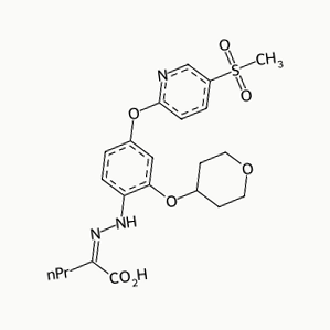 CCCC(=NNc1ccc(Oc2ccc(S(C)(=O)=O)cn2)cc1OC1CCOCC1)C(=O)O